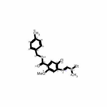 CCN(C)/C=N/c1cc(OC)c(C(=O)OCc2ccc(C)cc2)cc1Cl